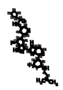 CN(C)CCNc1cc(F)cc(-c2nccc3[nH]c(-c4n[nH]c5c(F)cc(-c6cncc(NC(=O)C7CCCC7)c6)cc45)nc23)c1